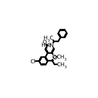 CCC(=O)c1ccc(Cl)cc1C(=C/C=O)/C(=C\N(C)C(C)Cc1ccccc1)OC